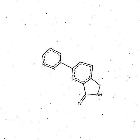 O=C1NCc2ccc(-c3cccnc3)nc21